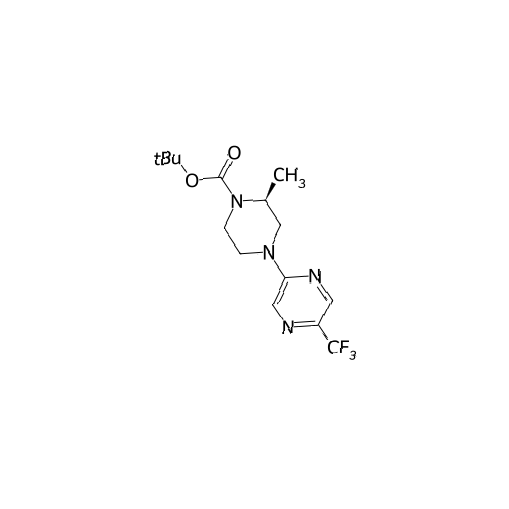 C[C@H]1CN(c2cnc(C(F)(F)F)cn2)CCN1C(=O)OC(C)(C)C